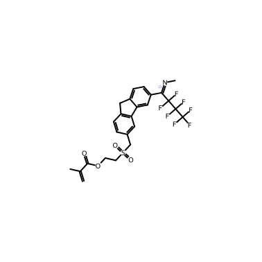 C=C(C)C(=O)OCCS(=O)(=O)Cc1ccc2c(c1)-c1cc(/C(=N/C)C(F)(F)C(F)(F)C(F)(F)F)ccc1C2